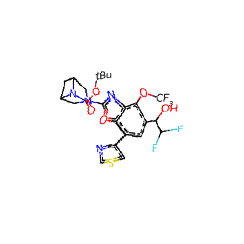 CC(C)(C)OC(=O)N1C2CC1CN(c1nc3c(OC(F)(F)F)c(C(O)C(F)F)cc(-c4cscn4)c3o1)C2